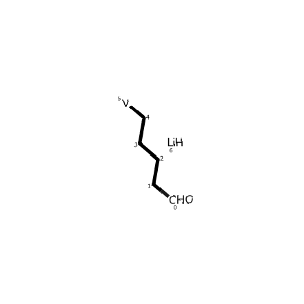 O=CCCC[CH2][V].[LiH]